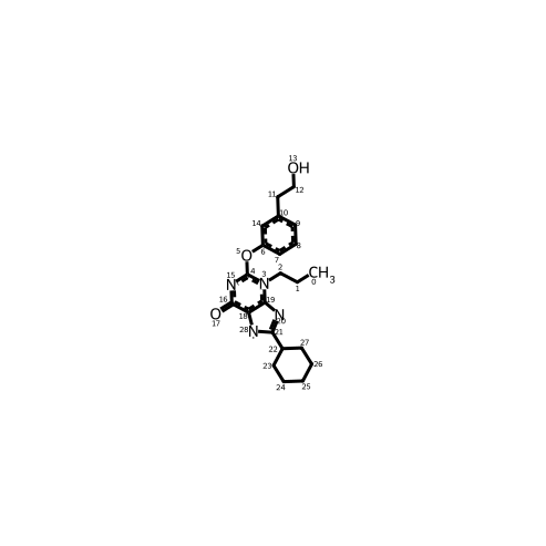 CCCn1c(Oc2cccc(CCO)c2)nc(=O)c2c1N=C(C1CCCCC1)[N]2